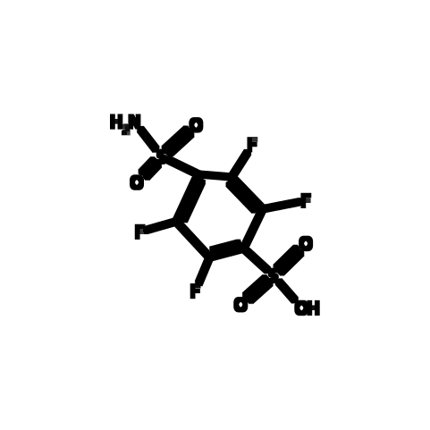 NS(=O)(=O)c1c(F)c(F)c(S(=O)(=O)O)c(F)c1F